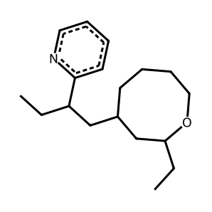 CCC1CC(CC(CC)c2ccccn2)CCCCO1